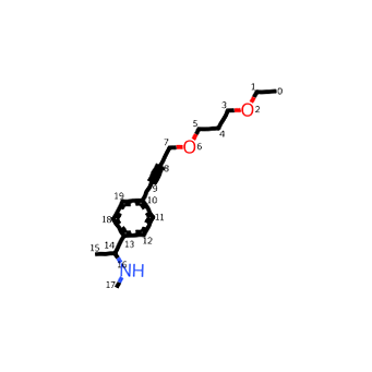 CCOCCCOCC#Cc1ccc(C(C)NC)cc1